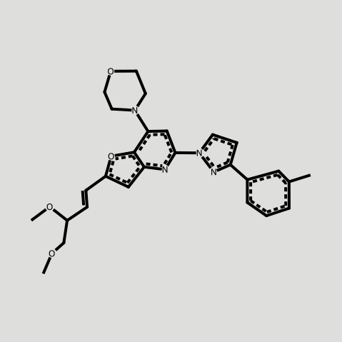 COCC(/C=C/c1cc2nc(-n3ccc(-c4cccc(C)c4)n3)cc(N3CCOCC3)c2o1)OC